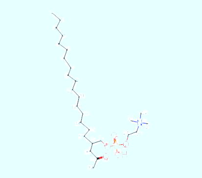 CCCCCCCCCCCCCCCCCC(COP(=O)(O)OCC[N+](C)(C)C)CC(C)=O